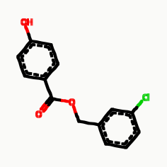 O=C(OCc1cccc(Cl)c1)c1ccc(O)cc1